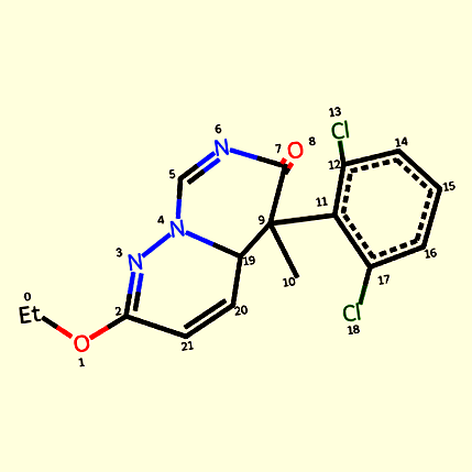 CCOC1=NN2C=NC(=O)C(C)(c3c(Cl)cccc3Cl)C2C=C1